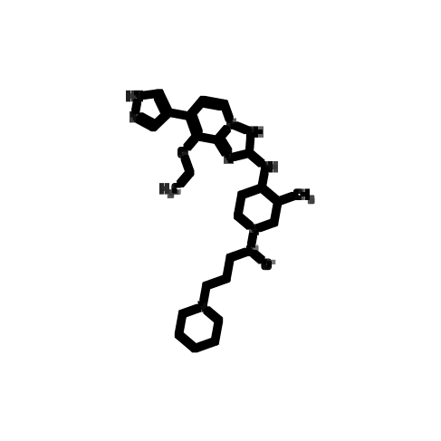 CCOC1=C(c2cn[nH]c2)C=CN2NC(NC3CCN([S+]([O-])CCCN4CCCCC4)CC3C)N=C12